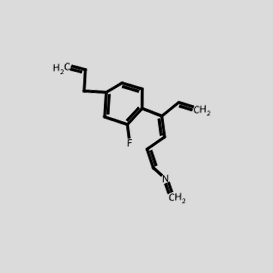 C=CCc1ccc(/C(C=C)=C\C=C/N=C)c(F)c1